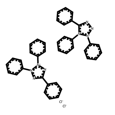 [Cl-].[Cl-].c1ccc(-c2nn(-c3ccccc3)[n+](-c3ccccc3)n2)cc1.c1ccc(-c2nn[n+](-c3ccccc3)n2-c2ccccc2)cc1